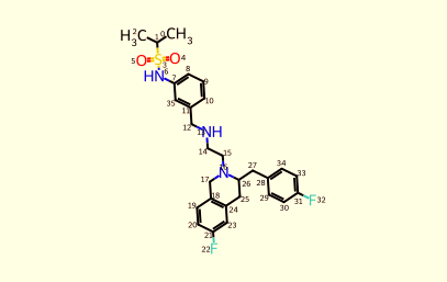 CC(C)S(=O)(=O)Nc1cccc(CNCCN2Cc3ccc(F)cc3CC2Cc2ccc(F)cc2)c1